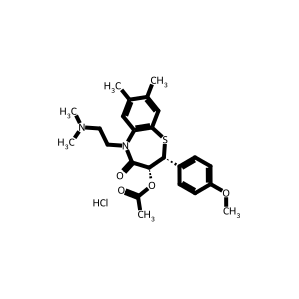 COc1ccc([C@H]2Sc3cc(C)c(C)cc3N(CCN(C)C)C(=O)[C@H]2OC(C)=O)cc1.Cl